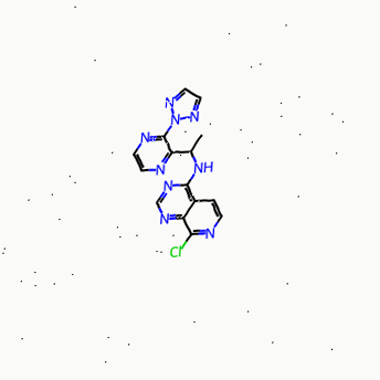 CC(Nc1ncnc2c(Cl)nccc12)c1nccnc1-n1nccn1